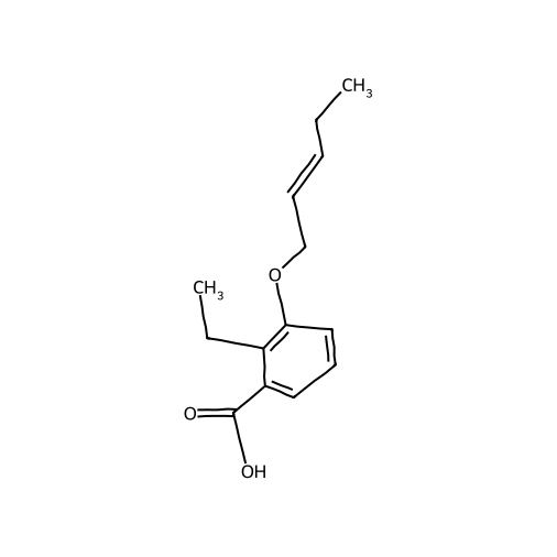 CCC=CCOc1cccc(C(=O)O)c1CC